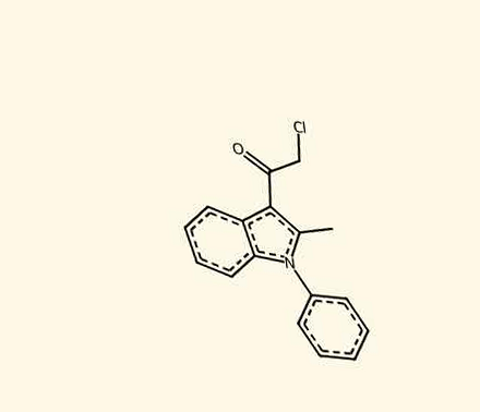 Cc1c(C(=O)CCl)c2ccccc2n1-c1ccccc1